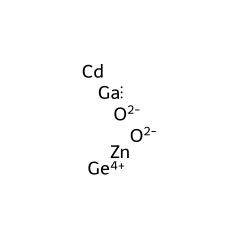 [Cd].[Ga].[Ge+4].[O-2].[O-2].[Zn]